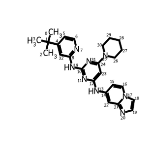 CC(C)(C)c1ccnc(Nc2nc(Nc3ccn4ccnc4c3)cc(N3CCCCC3)n2)c1